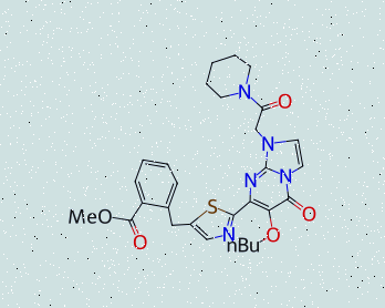 CCCCOc1c(-c2ncc(Cc3ccccc3C(=O)OC)s2)nc2n(CC(=O)N3CCCCC3)ccn2c1=O